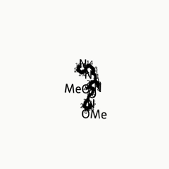 COc1ccc(COc2ncc(Cc3ccc4ncccc4n3)cc2OC)nc1